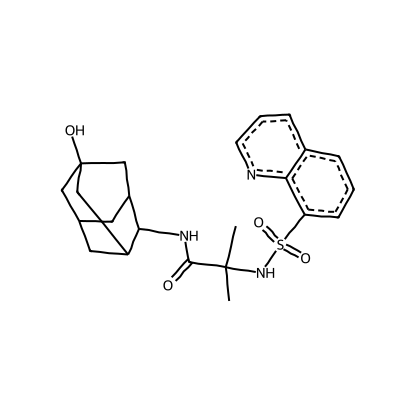 CC(C)(NS(=O)(=O)c1cccc2cccnc12)C(=O)NC1C2CC3CC1CC(O)(C3)C2